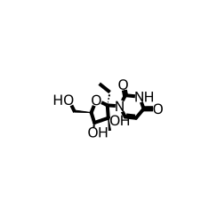 CC[C@@]1(n2ccc(=O)[nH]c2=O)O[C@H](CO)[C@@H](O)[C@@]1(C)O